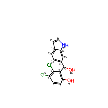 Oc1ccc(Cl)c(Cl)c1C(O)c1ccc2cc[nH]c2c1